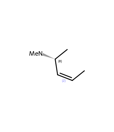 C/C=C\[C@@H](C)NC